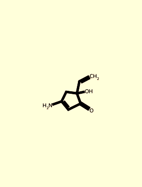 C=CC1(O)CC(N)=CC1=O